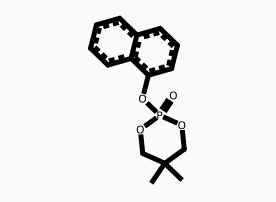 CC1(C)COP(=O)(Oc2cccc3ccccc23)OC1